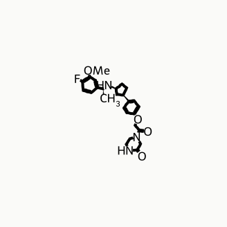 COc1cc([C@@H](C)N[C@H]2CC[C@@H](c3ccc(OCC(=O)N4CCNC(=O)C4)cc3)C2)ccc1F